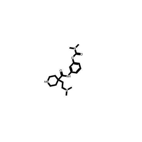 CN(C)CCC1(C(=O)Nc2cccc(OC(=O)N(C)C)c2)CCNCC1